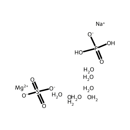 O.O.O.O.O.O.O.O=P([O-])(O)O.O=S(=O)([O-])[O-].[Mg+2].[Na+]